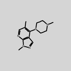 Cc1cnc2c(cnn2C)c1N1CCN(C)CC1